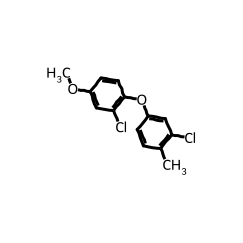 COc1ccc(Oc2ccc(C)c(Cl)c2)c(Cl)c1